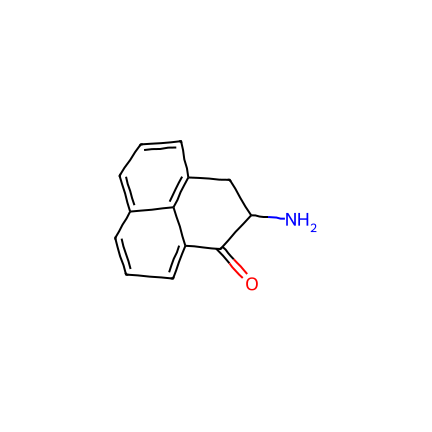 NC1Cc2cccc3cccc(c23)C1=O